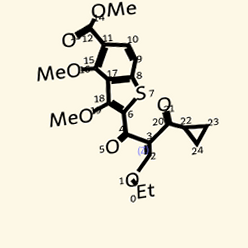 CCO/C=C(\C(=O)c1sc2ccc(C(=O)OC)c(OC)c2c1OC)C(=O)C1CC1